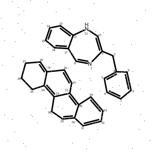 C1=NC(Cc2ccccc2)=CNc2ccccc21.C1=c2ccc3c(c2CCC1)CC=c1ccccc1=3